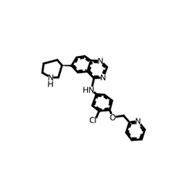 Clc1cc(Nc2ncnc3ccc([C@@H]4CCCNC4)cc23)ccc1OCc1ccccn1